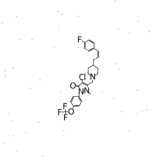 Cn1c(CN2CCC(C/C=C\c3ccc(F)cc3)CC2)c(Cl)c(=O)n1-c1ccc(OC(F)(F)F)cc1